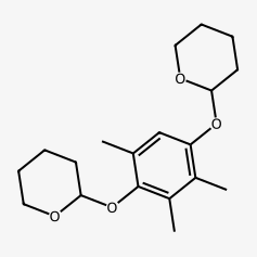 Cc1cc(OC2CCCCO2)c(C)c(C)c1OC1CCCCO1